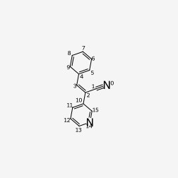 N#C/C(=C\c1ccccc1)c1cccnc1